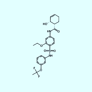 CCOc1cc(NC(=O)[C@H]2CCC=C[C@H]2O)ccc1S(=O)(=O)Nc1cccc(OC(C)(F)F)c1